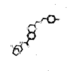 O=C(N[C@@H]1C[C@@H]2CCN(C2)C1)c1ccc2c(c1)OC[C@@H](COCc1ccc(F)cc1)O2